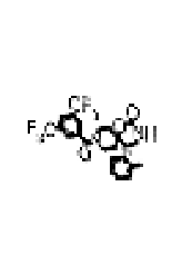 Cc1ccccc1[C@H]1CNC(=O)OC12CCN(C(=O)c1cc(C(F)(F)F)cc(C(F)(F)F)c1)CC2